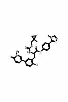 CC(C)n1cc(-c2ccc(Cl)c(CC(NC(=O)OCC3(C)CC3)C(=O)Nc3ccc(-c4nncn4C)cc3)c2)ccc1=O